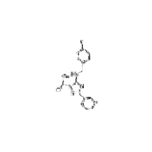 CC(C)(C)C(=O)n1nc(-c2cccnc2)nc1NCc1ccc(F)cc1